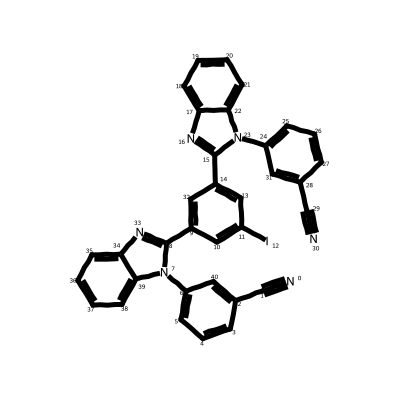 N#Cc1cccc(-n2c(-c3cc(I)cc(-c4nc5ccccc5n4-c4cccc(C#N)c4)c3)nc3ccccc32)c1